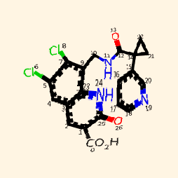 O=C(O)c1cc2cc(Cl)c(Cl)c(CNC(=O)C3(c4cccnc4)CC3)c2[nH]c1=O